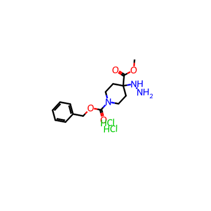 COC(=O)C1(NN)CCN(C(=O)OCc2ccccc2)CC1.Cl.Cl